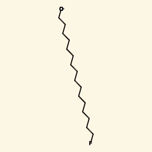 [O]CCCCCCCCCCCCCCCCF